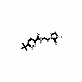 CC(C)(C)c1ccc(C(=O)NCCN2CCNC2=O)nn1